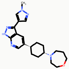 Cn1cc(-c2n[nH]c3ncc([C@H]4CC[C@@H](N5CCCOCC5)CC4)cc23)cn1